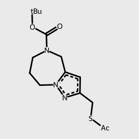 CC(=O)SCc1cc2n(n1)CCCN(C(=O)OC(C)(C)C)C2